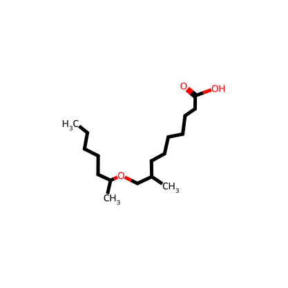 CCCCCC(C)OCC(C)CCCCCCC(=O)O